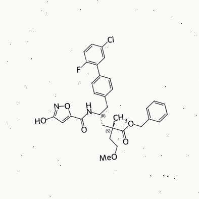 COCC[C@](C)(C[C@@H](Cc1ccc(-c2cc(Cl)ccc2F)cc1)NC(=O)c1cc(O)no1)C(=O)OCc1ccccc1